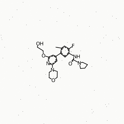 Cc1cc(F)c(NC(=O)N2CCCC2)cc1-c1cc(OCCO)nc(N2CCOCC2)c1